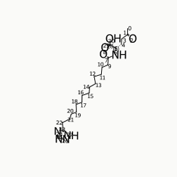 CC(=O)CC[C@H](NC(=O)CCCCCCCCCCCCCCc1nnn[nH]1)C(=O)O